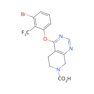 O=C(O)N1CCc2c(ncnc2Oc2cccc(Br)c2C(F)(F)F)C1